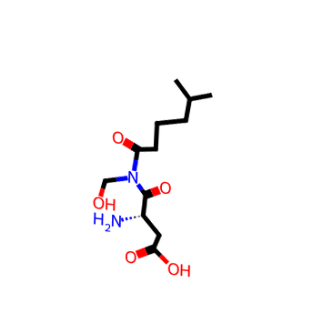 CC(C)CCCC(=O)N(CO)C(=O)[C@@H](N)CC(=O)O